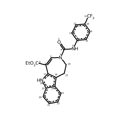 CCOC(=O)C1=CN(C(=O)Nc2ccc(C(F)(F)F)cc2)CCc2c1[nH]c1ccccc21